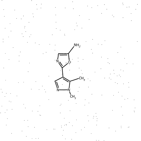 Cc1c(-c2ncc(N)o2)cnn1C